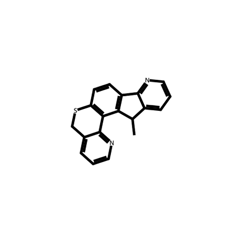 CC1c2cccnc2-c2ccc3c(c21)-c1ncccc1CS3